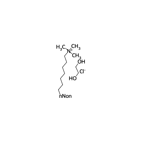 CCCCCCCCCCCCCCCC[N+](C)(C)C.OCCO.[Cl-]